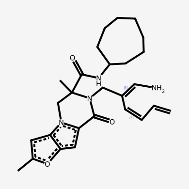 C=C/C=C\C(=C/N)CN1C(=O)c2cc3oc(C)cc3n2CC1(C)C(=O)NC1CCCCCCC1